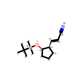 CC(C)(C)[Si](C)(C)O[C@@H]1CCC[C@@H]1C=CC#N